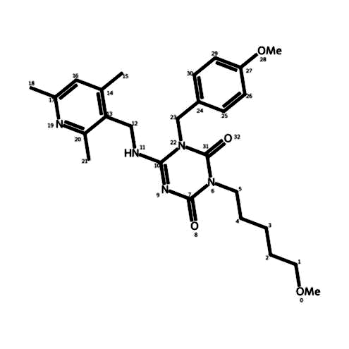 COCCCCCn1c(=O)nc(NCc2c(C)cc(C)nc2C)n(Cc2ccc(OC)cc2)c1=O